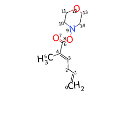 C=CCC=C(C)C(=O)ON1CCOCC1